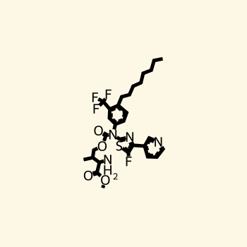 CCCCCCCCc1ccc(N(C(=O)OCC(C)C(N)C(=O)OC)c2nc(-c3cccnc3)c(F)s2)cc1C(F)(F)F